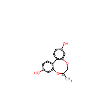 C[C@@H]1COc2cc(O)ccc2-c2ccc(O)cc2O1